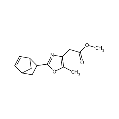 COC(=O)Cc1nc(C2CC3C=CC2C3)oc1C